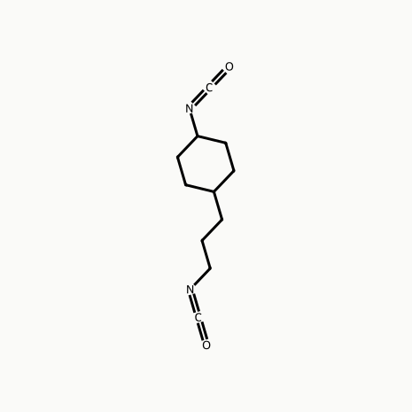 O=C=NCCCC1CCC(N=C=O)CC1